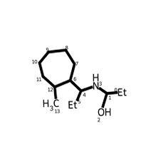 CCC(O)NC(CC)C1CCCCCC1C